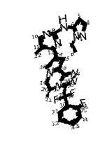 CCn1nccc1Nc1ncc(C)c(-c2cc3n(c2)C[C@H](C)n2c-3nnc2C(F)(F)c2ccccc2F)n1